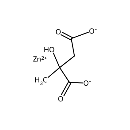 CC(O)(CC(=O)[O-])C(=O)[O-].[Zn+2]